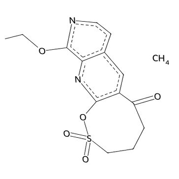 C.CCOc1nccc2cc3c(nc12)OS(=O)(=O)CCCC3=O